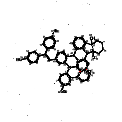 Cc1cc2c3c(c1)N(c1ccc(C(C)(C)C)cc1-c1ccccc1)c1cc(C=C(c4ccc(C(C)(C)C)cc4)c4ccc(C(C)(C)C)cc4)ccc1B3c1cccc3c1C2C1(C)CCCCC31C